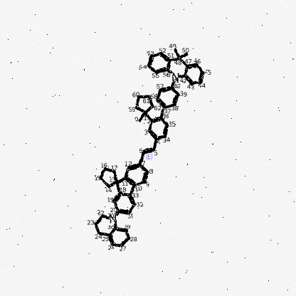 CC1(c2cc(/C=C/c3ccc4c(c3)C3(CCCC3)c3cc(N5CCCc6ccccc65)ccc3-4)ccc2-c2ccc(N3c4ccccc4C(C)(C)c4ccccc43)cc2)CCCC1